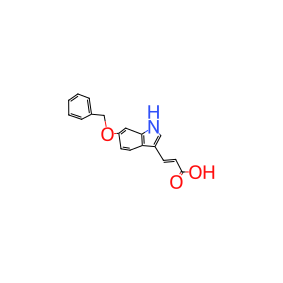 O=C(O)C=Cc1c[nH]c2cc(OCc3ccccc3)ccc12